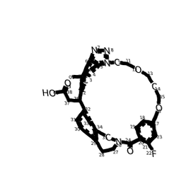 Cc1c2ccc3c1nnn3CCOCCCOc1ccc(c(F)c1)C(=O)N1CCc3ccc(cc3C1)C2CC(=O)O